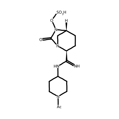 CC(=O)N1CCC(NC(=N)[C@@H]2CC[C@@H]3CN2C(=O)N3OS(=O)(=O)O)CC1